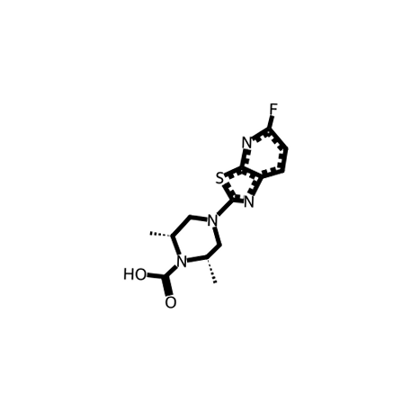 C[C@@H]1CN(c2nc3ccc(F)nc3s2)C[C@H](C)N1C(=O)O